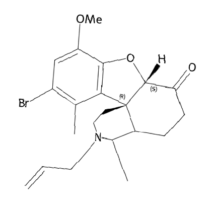 C=CCN1CC[C@@]23c4c(C)c(Br)cc(OC)c4O[C@@H]2C(=O)CCC3C1C